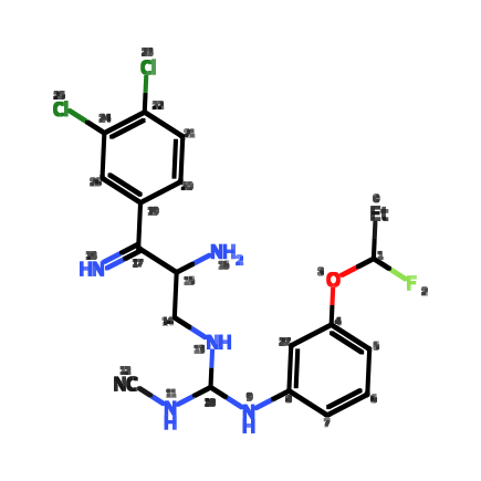 CCC(F)Oc1cccc(NC(NC#N)NCC(N)C(=N)c2ccc(Cl)c(Cl)c2)c1